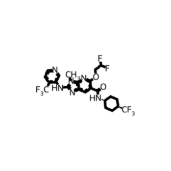 Cn1c(Nc2cnccc2C(F)(F)F)nc2cc(C(=O)N[C@H]3CC[C@H](C(F)(F)F)CC3)c(OCC(F)F)nc21